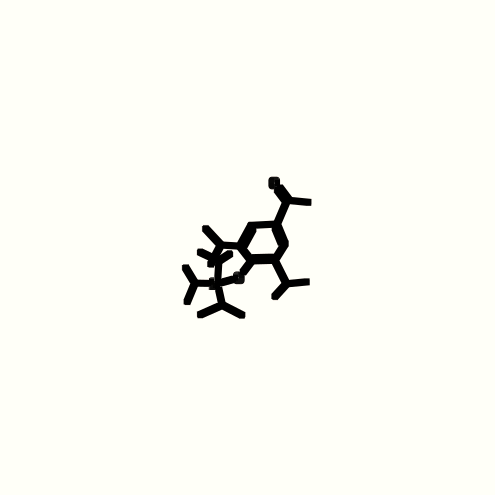 CC(=O)c1cc(C(C)C)c(O[Si](C(C)C)(C(C)C)C(C)C)c(C(C)C)c1